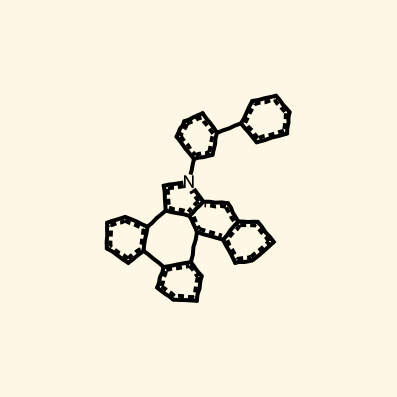 c1ccc(-c2cccc(-n3cc4c5c(c6ccccc6cc53)-c3ccccc3-c3ccccc3-4)c2)cc1